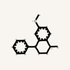 COc1ccc2c(c1)C(c1ccccc1)CCC2C